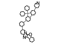 c1ccc(C2(c3ccccc3)c3cc(-c4ccncc4)ccc3-c3ccc(-c4cccc(-c5ccc6nc7c8ccccc8oc7n6c5)c4)cc32)cc1